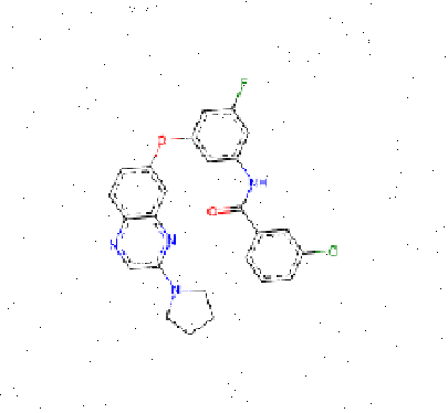 O=C(Nc1cc(F)cc(Oc2ccc3ncc(N4CCCC4)nc3c2)c1)c1cccc(Cl)c1